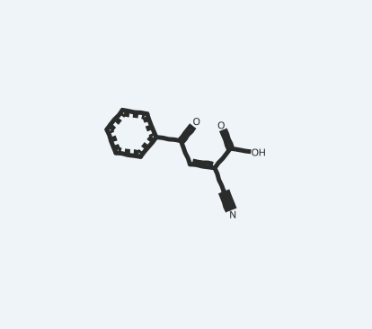 N#CC(=CC(=O)c1ccccc1)C(=O)O